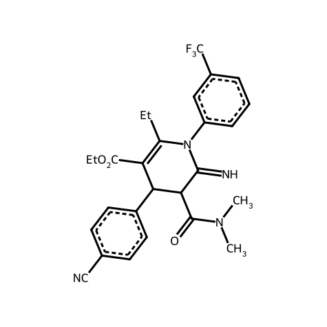 CCOC(=O)C1=C(CC)N(c2cccc(C(F)(F)F)c2)C(=N)C(C(=O)N(C)C)C1c1ccc(C#N)cc1